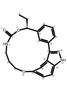 CC[C@@H]1OC(=O)NCCCOc2ccc3[nH]nc(c3c2)-c2cccc1c2